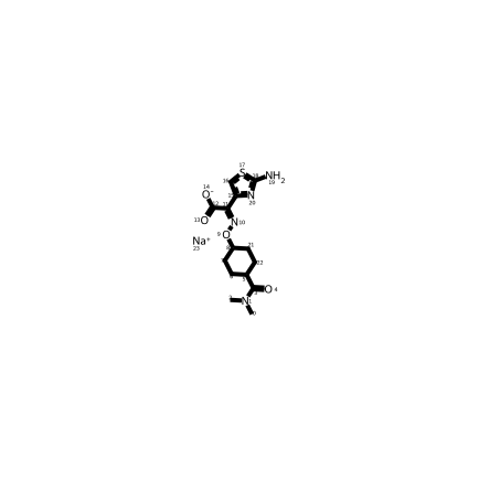 CN(C)C(=O)C1CCC(O/N=C(\C(=O)[O-])c2csc(N)n2)CC1.[Na+]